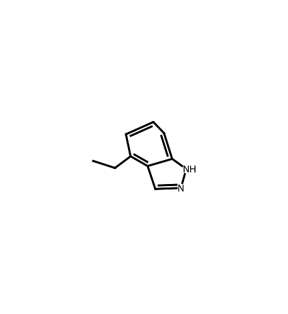 CCc1cccc2[nH]ncc12